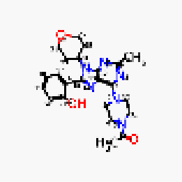 CC(=O)N1CCN(c2nc(C)nc3c2nc(-c2ccccc2O)n3C2CCOCC2)CC1